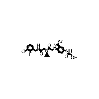 CC(=O)c1nn(CC(=O)N(CC(=O)NCc2cccc(Cl)c2F)C2CC2)c2ccc(NC(=O)CO)cc12